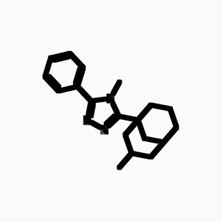 CC1CC2CCCC(c3nnc(-c4ccccc4)n3C)(C1)C2